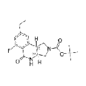 CCc1cc(F)c2c(c1)[C@@H]1CN(C(=O)OC(C)(C)C)C[C@H]1NC2=O